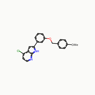 COc1ccc(COc2cccc(-c3cc4c(Cl)ccnc4[nH]3)c2)cc1